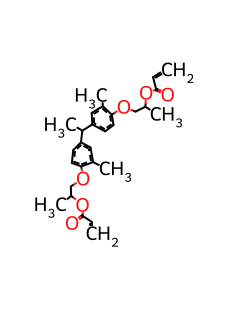 C=CC(=O)OC(C)COc1ccc(C(C)c2ccc(OCC(C)OC(=O)C=C)c(C)c2)cc1C